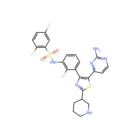 Nc1nccc(-c2sc(C3CCCNC3)nc2-c2cccc(NS(=O)(=O)c3cc(F)ccc3F)c2F)n1